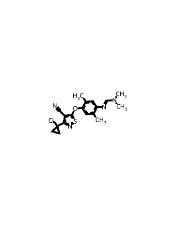 Cc1cc(Oc2snc(C3(Cl)CC3)c2C#N)c(C)cc1N=CN(C)C